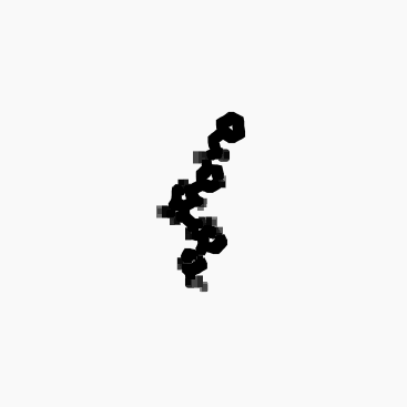 Cc1cn(-c2ccnc3[nH]c(-c4n[nH]c5cnc(-c6cncc(NC(=O)Cc7ccccc7)c6)c(F)c45)nc23)cn1